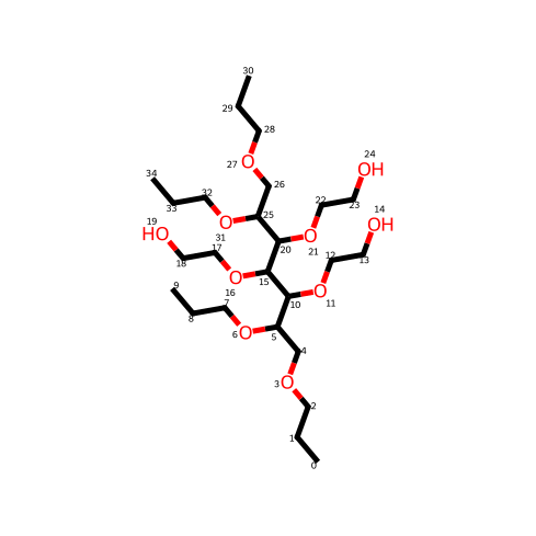 CCCOCC(OCCC)C(OCCO)C(OCCO)C(OCCO)C(COCCC)OCCC